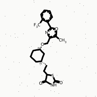 Cc1oc(-c2ccccc2C(F)(F)F)nc1CO[C@H]1CCC[C@@H](CCC2SC(=O)NC2=O)C1